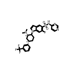 CN(C)[C@H]1C[C@@H](c2cccc(C(F)(F)F)c2)CCC1n1ccc2cc(S(=O)(=O)Nc3ccncn3)c(F)cc21